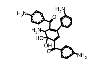 Nc1ccc(C(=O)C2=CC(c3cccc(N)c3)=C(C(=O)c3ccc(N)cc3)C(N)C2(O)O)cc1